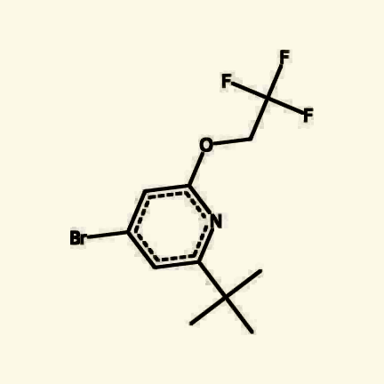 CC(C)(C)c1cc(Br)cc(OCC(F)(F)F)n1